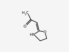 CC(=O)/C=C1\NCCO1